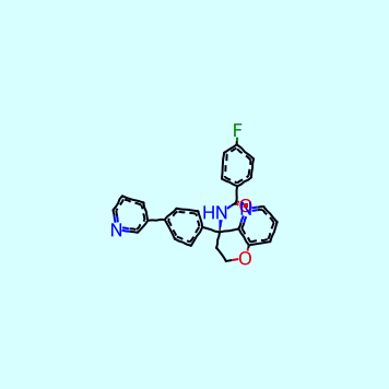 O=C(N[C@]1(c2ccc(-c3cccnc3)cc2)CCOc2cccnc21)c1ccc(F)cc1